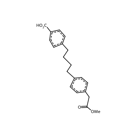 COC(=O)Cc1ccc(CCCCc2ccc(C(=O)O)cc2)cc1